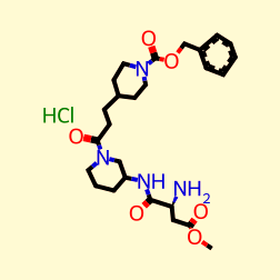 COC(=O)C[C@H](N)C(=O)NC1CCCN(C(=O)CCC2CCN(C(=O)OCc3ccccc3)CC2)C1.Cl